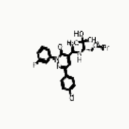 CC(C)OC[C@H](NC(=O)c1cc(-c2ccc(Cl)cc2)nn(-c2cccc(F)c2)c1=O)C(C)(C)O